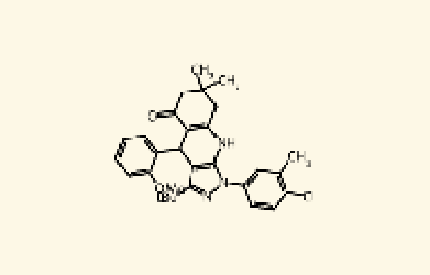 COc1ccccc1C1C2=C(CC(C)(C)CC2=O)Nc2c1c(C(C)(C)C)nn2-c1ccc(Cl)c(C)c1